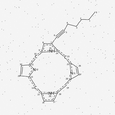 CCCCCC#Cc1cc2cc3nc(cc4ccc(cc5nc(cc1[nH]2)C=C5)[nH]4)C=C3